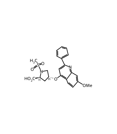 COc1ccc2c(O[C@@H]3C[C@@H](C(=O)O)N(S(C)(=O)=O)C3)cc(-c3ccccc3)nc2c1